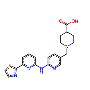 O=C(O)C1CCN(Cc2ccc(Nc3cccc(-c4nccs4)n3)nc2)CC1